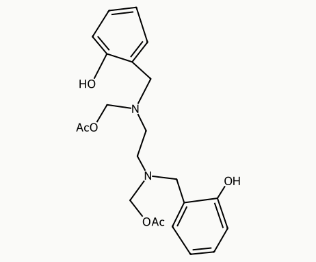 CC(=O)OCN(CCN(COC(C)=O)Cc1ccccc1O)Cc1ccccc1O